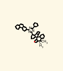 CC1(C)c2ccccc2C2(c3ccccc3-c3c(-c4nc(-c5ccccc5)nc(-c5ccc6c(ccc7ccccc76)c5)n4)cccc32)c2ccccc21